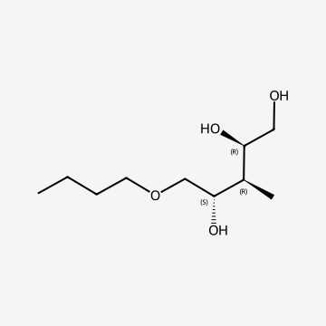 CCCCOC[C@@H](O)[C@H](C)[C@@H](O)CO